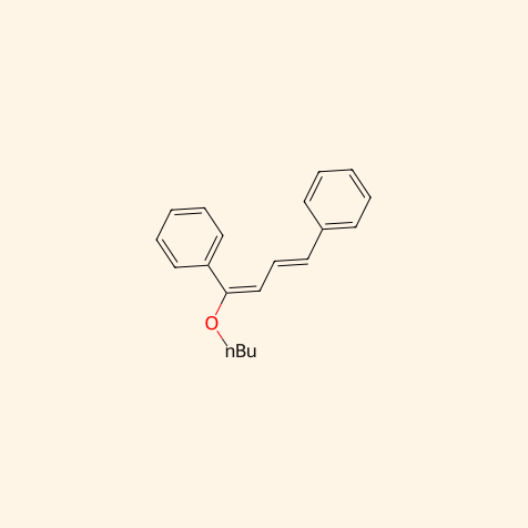 CCCCO/C(=C/C=C/c1ccccc1)c1ccccc1